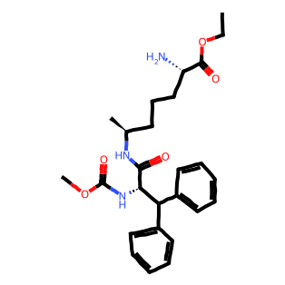 CCOC(=O)[C@@H](N)CCC[C@H](C)NC(=O)[C@@H](NC(=O)OC)C(c1ccccc1)c1ccccc1